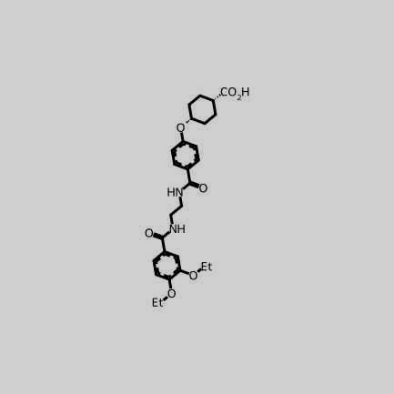 CCOc1ccc(C(=O)NCCNC(=O)c2ccc(O[C@H]3CC[C@@H](C(=O)O)CC3)cc2)cc1OCC